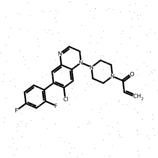 C=CC(=O)N1CCN(N2CC=Nc3cc(-c4ccc(F)cc4F)c(Cl)cc32)CC1